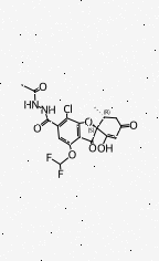 CC(=O)NNC(=O)c1cc(OC(F)F)c2c(c1Cl)O[C@]1(C2=O)C(O)=CC(=O)C[C@H]1C